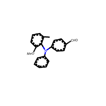 COc1cccc(C)c1N(c1ccccc1)c1ccc(C=O)cc1